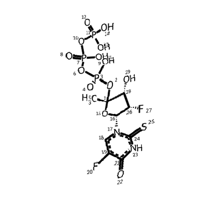 C[C@]1(OP(=O)(O)OP(=O)(O)OP(=O)(O)O)O[C@@H](n2cc(F)c(=O)[nH]c2=S)[C@@H](F)[C@H]1O